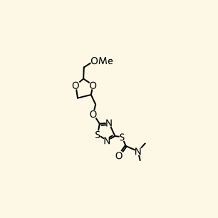 COCC1OCC(COc2nc(SC(=O)N(C)C)ns2)O1